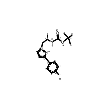 C[C@H](Cn1ccc(-c2ccc(F)cc2)n1)NC(=O)OC(C)(C)C